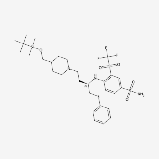 CC(C)(C)[Si](C)(C)OCC1CCN(CC[C@H](CSc2ccccc2)Nc2ccc(S(N)(=O)=O)cc2S(=O)(=O)C(F)(F)F)CC1